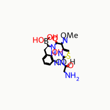 CO/N=C(\C(=O)N[C@@H](Cc1cccc(C(=O)O)c1O)B(O)O)c1csc(NC(=O)CN)n1